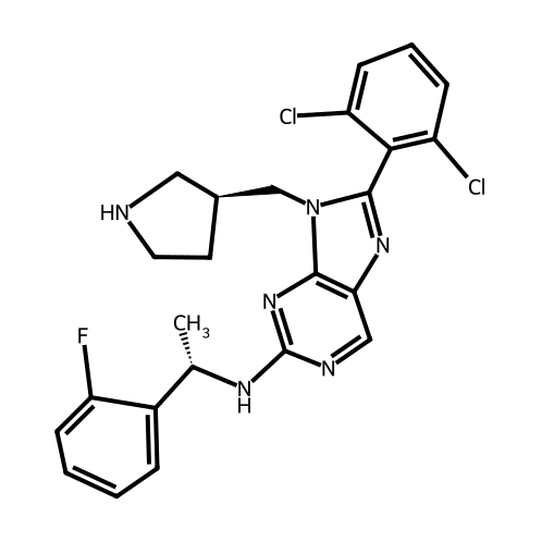 C[C@H](Nc1ncc2nc(-c3c(Cl)cccc3Cl)n(C[C@H]3CCNC3)c2n1)c1ccccc1F